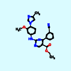 CCOC(=O)c1cnc(Nc2ccc(-n3cnc(C)c3)c(OC)c2)nc1-c1cccc(C#N)c1